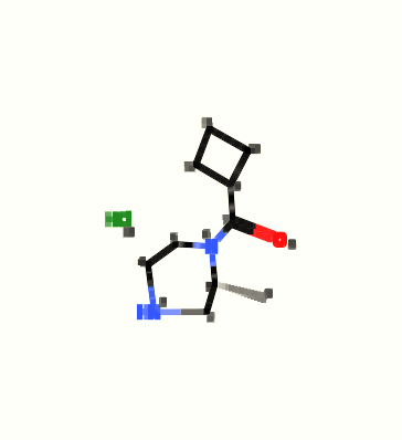 C[C@@H]1CNCCN1C(=O)C1CCC1.Cl